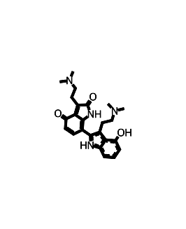 CN(C)CCC1=C2C(=O)C=CC(c3[nH]c4cccc(O)c4c3CCN(C)C)=C2NC1=O